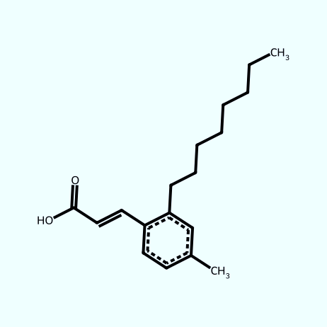 CCCCCCCCc1cc(C)ccc1C=CC(=O)O